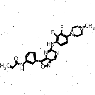 C=CC(=O)Nc1cccc(-c2onc3cnc(Nc4ccc(N5CCN(C)CC5)c(F)c4F)nc23)c1